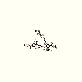 COc1cc(C(N)=O)cc(N)c1NC/C=C/CNc1c(N)cc(C(N)=O)cc1OCCCC1CCN(C(=O)OC(C)(C)C)CC1